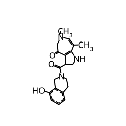 CC1=CN(C)CC(=O)C2=C1NCC2C(=O)N1CCc2cccc(O)c2C1